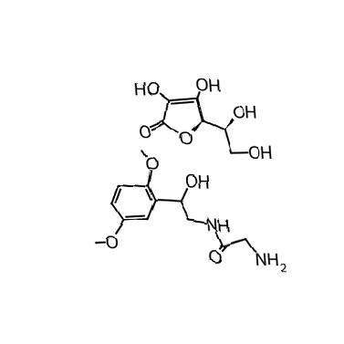 COc1ccc(OC)c(C(O)CNC(=O)CN)c1.O=C1O[C@H]([C@@H](O)CO)C(O)=C1O